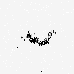 Cc1cc(C)n(-c2ccc(Cl)c(C(=O)NC(=O)Nc3nc4ccc(S(=O)(=O)CCCN5CCN(C)CC5)cc4s3)c2)n1